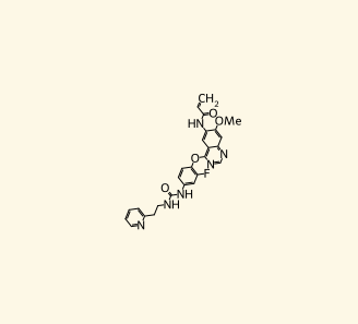 C=CC(=O)Nc1cc2c(Oc3ccc(NC(=O)NCCc4ccccn4)cc3F)ncnc2cc1OC